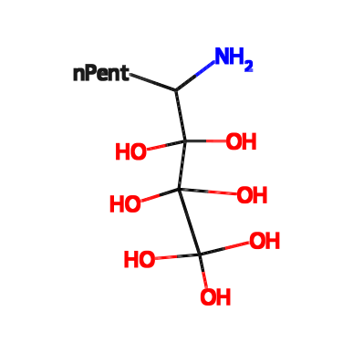 CCCCCC(N)C(O)(O)C(O)(O)C(O)(O)O